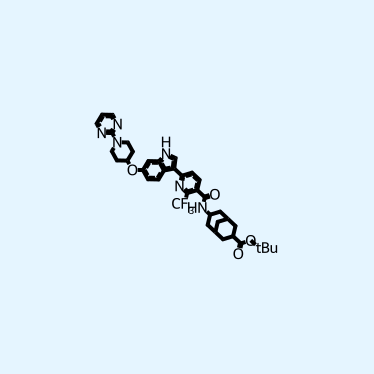 CC(C)(C)OC(=O)C1CC2CC(CC(NC(=O)c3ccc(-c4c[nH]c5cc(OC6CCN(c7ncccn7)CC6)ccc45)nc3C(F)(F)F)C2)C1